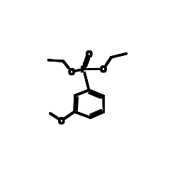 CCOP(=O)(OCC)c1cccc(OC)c1